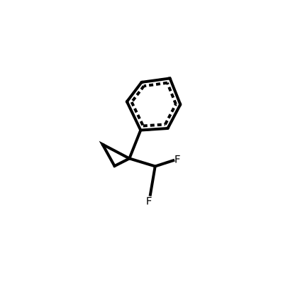 FC(F)C1(c2ccccc2)CC1